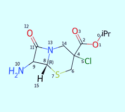 CC(C)OC(=O)C1(Cl)CS[C@@H]2C(N)C(=O)N2C1